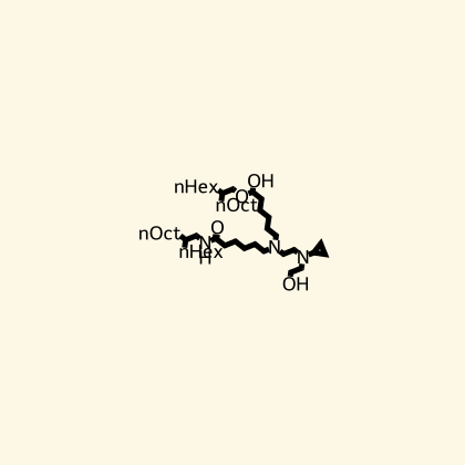 CCCCCCCCC(CCCCCC)CNC(=O)CCCCCN(CCCCCC(O)OCC(CCCCCC)CCCCCCCC)CCN(CCO)C1CC1